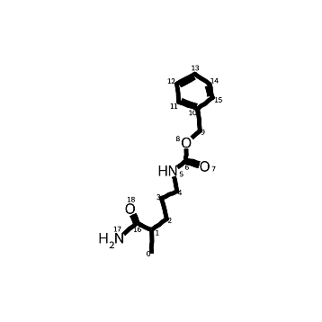 CC(CCCNC(=O)OCc1ccccc1)C(N)=O